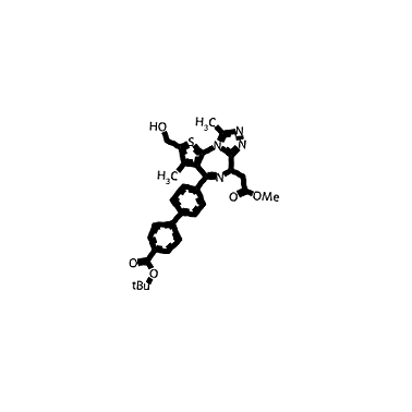 COC(=O)CC1N=C(c2ccc(-c3ccc(C(=O)OC(C)(C)C)cc3)cc2)c2c(sc(CO)c2C)-n2c(C)nnc21